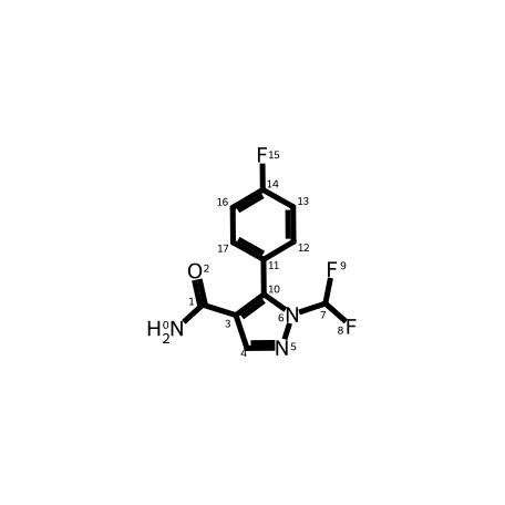 NC(=O)c1cnn(C(F)F)c1-c1ccc(F)cc1